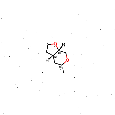 C[C@@H]1C[C@@H]2CCO[C@@H]2CO1